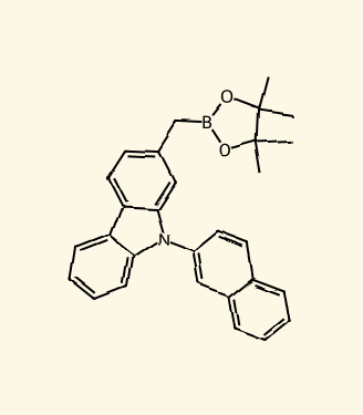 CC1(C)OB(Cc2ccc3c4ccccc4n(-c4ccc5ccccc5c4)c3c2)OC1(C)C